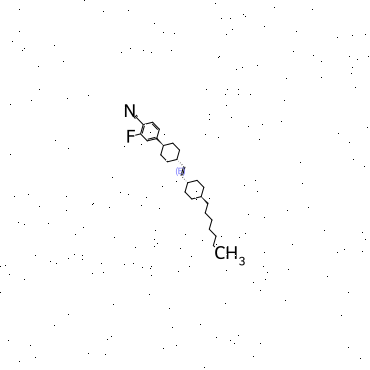 CCCCCCC[C@H]1CC[C@H](/C=C/[C@H]2CC[C@H](c3ccc(C#N)c(F)c3)CC2)CC1